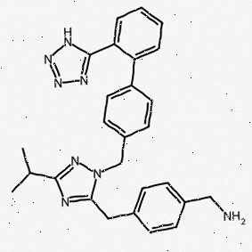 CC(C)c1nc(Cc2ccc(CN)cc2)n(Cc2ccc(-c3ccccc3-c3nnn[nH]3)cc2)n1